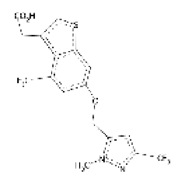 Cn1nc(C(F)(F)F)cc1COc1cc(C(F)(F)F)c2c(CC(=O)O)csc2c1